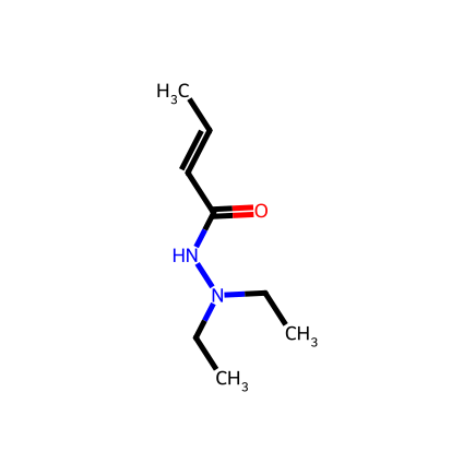 CC=CC(=O)NN(CC)CC